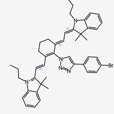 CCCN1/C(=C/C=C2\CCCC(/C=C/C3=[N+](CCC)c4ccccc4C3(C)C)=C2n2cc(-c3ccc(Br)cc3)nn2)C(C)(C)c2ccccc21